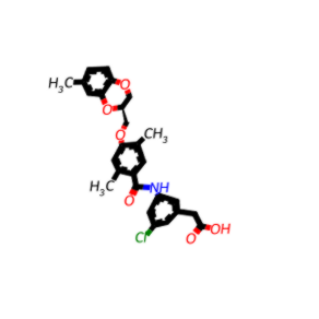 Cc1ccc2c(c1)O[C@H](COc1cc(C)c(C(=O)Nc3cc(Cl)cc(CC(=O)O)c3)cc1C)CO2